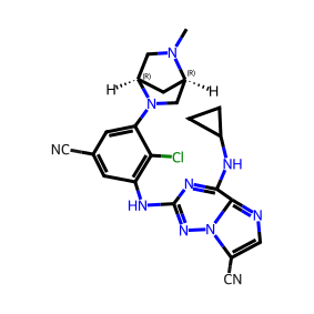 CN1C[C@H]2C[C@@H]1CN2c1cc(C#N)cc(Nc2nc(NC3CC3)c3ncc(C#N)n3n2)c1Cl